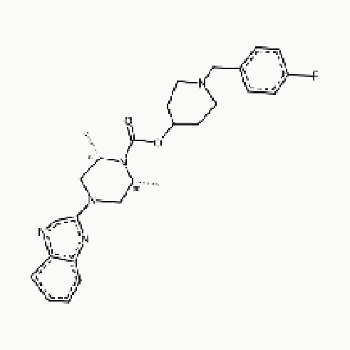 C[C@@H]1CN(c2cnc3ccccc3n2)C[C@H](C)N1C(=O)OC1CCN(Cc2ccc(F)cc2)CC1